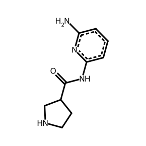 Nc1cccc(NC(=O)C2CCNC2)n1